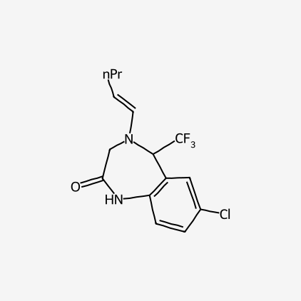 CCCC=CN1CC(=O)Nc2ccc(Cl)cc2C1C(F)(F)F